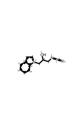 [N-]=[N+]=NCC(O)Cn1ccc2ccccc21